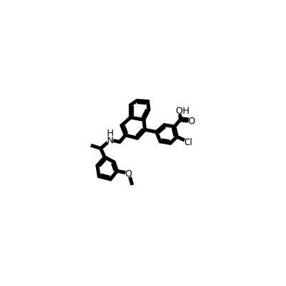 COc1cccc(C(C)NCc2cc(-c3ccc(Cl)c(C(=O)O)c3)c3ccccc3c2)c1